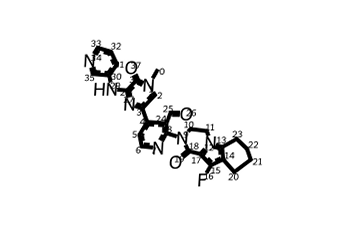 Cn1cc(-c2ccnc(N3CCn4c5c(c(F)c4C3=O)CCCC5)c2C=O)nc(Nc2cccnc2)c1=O